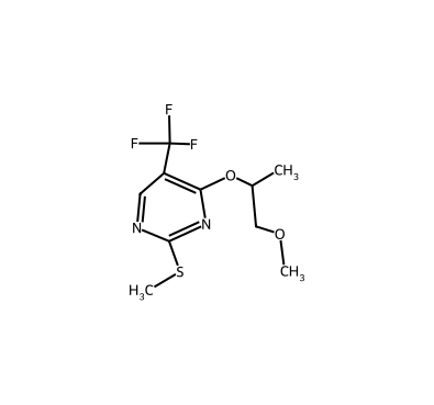 COCC(C)Oc1nc(SC)ncc1C(F)(F)F